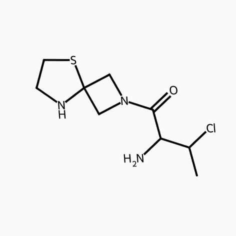 CC(Cl)C(N)C(=O)N1CC2(C1)NCCS2